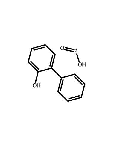 O=PO.Oc1ccccc1-c1ccccc1